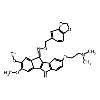 COc1cc2c(cc1OC)-c1[nH]c3ccc(OCCN(C)C)cc3c1/C2=N\OCc1ccc2c(c1)OCO2